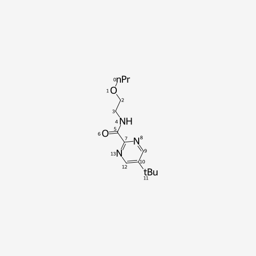 CCCOCCNC(=O)c1ncc(C(C)(C)C)cn1